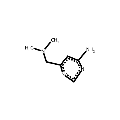 CN(C)Cc1cc(N)ncn1